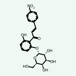 O=C(/C=C/c1ccc([N+](=O)[O-])cc1)c1c(O)cccc1O[C@H]1O[C@H](CO)[C@H](O)[C@H](O)[C@H]1O